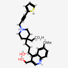 COc1ccc2ncc(CO)c([C@H](O)CCC3(CC(=O)O)CCN(CC#Cc4cccs4)CC3)c2c1